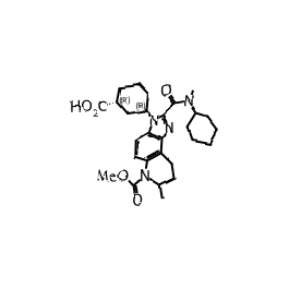 COC(=O)N1c2ccc3c(nc(C(=O)N(C)C4CCCCC4)n3[C@@H]3CCC[C@@H](C(=O)O)C3)c2CCC1C